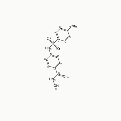 CC(C)(C)c1ccc(S(=O)(=O)Nc2ccc(C(=O)NO)cc2)cc1